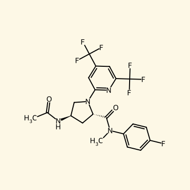 CC(=O)N[C@@H]1C[C@@H](C(=O)N(C)c2ccc(F)cc2)N(c2cc(C(F)(F)F)cc(C(F)(F)F)n2)C1